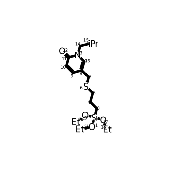 CCO[Si](CCCSCc1ccc(=O)n(CC(C)C)c1)(OCC)OCC